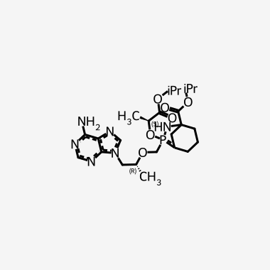 CC(C)OC(=O)[C@H](C)OP1(CO[C@H](C)Cn2cnc3c(N)ncnc32)=C2CCCC(C(=O)OC(C)C)(C2)N1